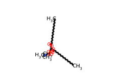 CCCCCCCCCCCCCCCCCCC(=O)OC[C@H](COP(=O)([O-])OCC[N+](C)(C)C)OC(=O)CCCCCCCCCCCCCCCCC